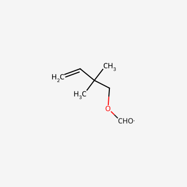 C=CC(C)(C)CO[C]=O